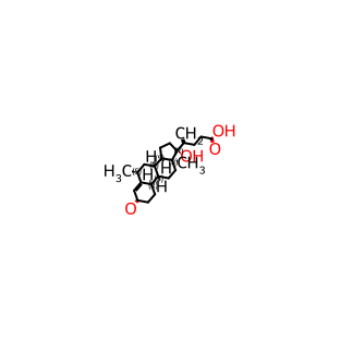 C=C(CCC(=O)O)[C@]1(O)CC[C@H]2[C@@H]3C[C@H](C)C4=CC(=O)CC[C@@H]4[C@H]3CC[C@@]21C